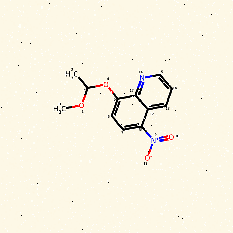 COC(C)Oc1ccc([N+](=O)[O-])c2cccnc12